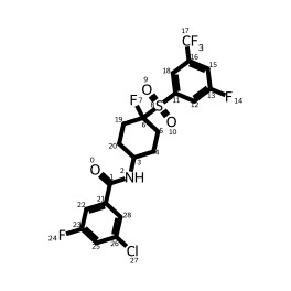 O=C(NC1CCC(F)(S(=O)(=O)c2cc(F)cc(C(F)(F)F)c2)CC1)c1cc(F)cc(Cl)c1